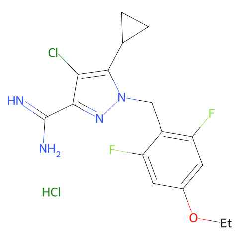 CCOc1cc(F)c(Cn2nc(C(=N)N)c(Cl)c2C2CC2)c(F)c1.Cl